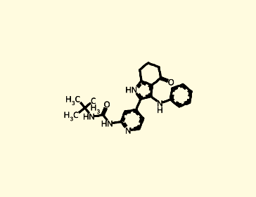 CC(C)(C)NC(=O)Nc1cc(-c2[nH]c3c(c2Nc2ccccc2)C(=O)CCC3)ccn1